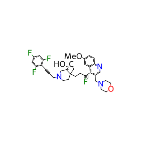 COc1ccc2ncc(CN3CCOCC3)c([C@H](F)CCC3(CC(=O)O)CCN(CC#Cc4c(F)cc(F)cc4F)CC3)c2c1